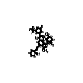 Cn1nc(N)c2c(Oc3cc(F)ccc3Cl)c(NC(=O)c3cc(F)cc(C(F)(F)F)c3)cc(C#CC3CCCCN3)c21